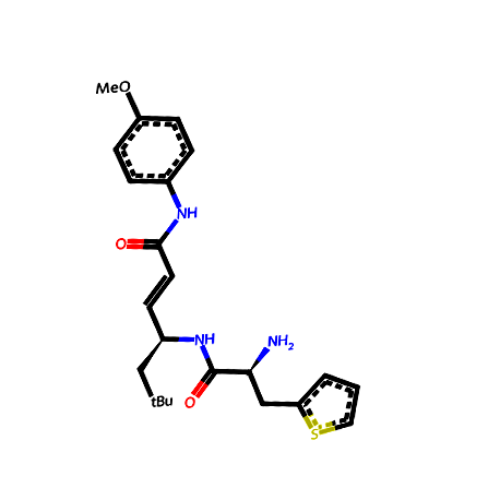 COc1ccc(NC(=O)/C=C/[C@H](CC(C)(C)C)NC(=O)[C@@H](N)Cc2cccs2)cc1